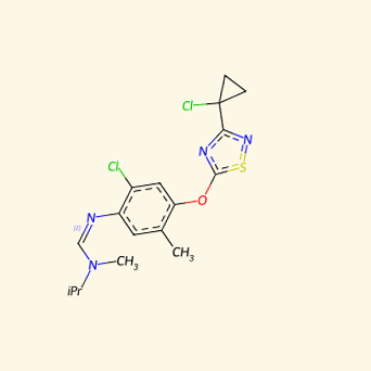 Cc1cc(/N=C\N(C)C(C)C)c(Cl)cc1Oc1nc(C2(Cl)CC2)ns1